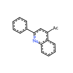 CC(=O)c1cc(-c2ccccc2)nc2ccccc12